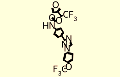 O=C(Nc1ccc(-c2ncn(-c3ccc(OC(F)(F)F)cc3)n2)cc1)OC(c1ccoc1)C(F)(F)F